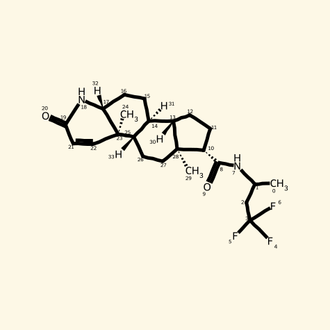 CC(CC(F)(F)F)NC(=O)[C@H]1CC[C@H]2[C@@H]3CC[C@H]4NC(=O)C=C[C@]4(C)[C@H]3CC[C@]12C